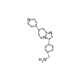 NCc1ccc(-c2cnc3cc(-c4ccncc4)ccn23)cc1